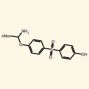 CCCCCCCCCC(N)Oc1ccc(S(=O)(=O)c2ccc(O)cc2)cc1